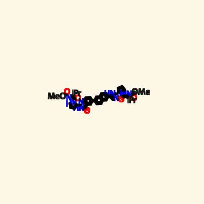 COC(=O)N[C@H](C(=O)N1CCC[C@H]1c1ncc(-c2ccc3cc(-c4ccc5nc([C@@H]6CCCN6C(=O)[C@@H](NC(=O)OC)C(C)C)[nH]c(=O)c5c4)ccc3c2)[nH]1)C(C)C